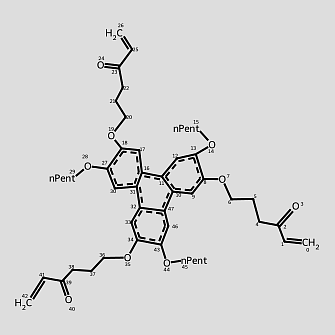 C=CC(=O)CCCOc1cc2c(cc1OCCCCC)c1cc(OCCCC(=O)C=C)c(OCCCCC)cc1c1cc(OCCCC(=O)C=C)c(OCCCCC)cc21